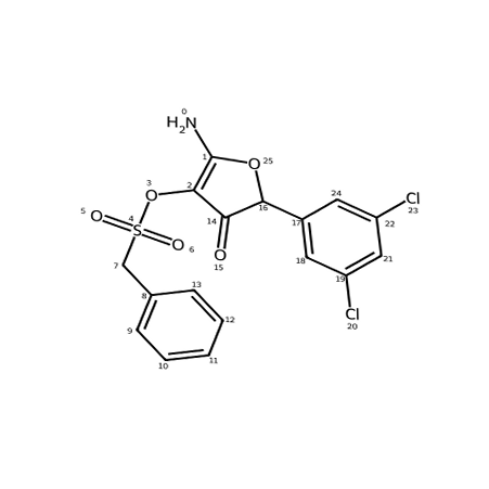 NC1=C(OS(=O)(=O)Cc2ccccc2)C(=O)C(c2cc(Cl)cc(Cl)c2)O1